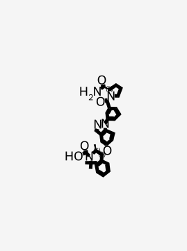 C[C@@H]([C@H](Oc1ccc2c(cnn2-c2cccc(C(=O)N3CCC[C@@H]3C(N)=O)c2)c1)c1ccccc1)N(C(=O)O)C(C)(C)C